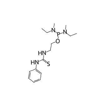 CCN(C)P(OCCNC(=S)Nc1ccccc1)N(C)CC